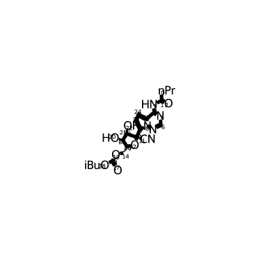 CCCC(=O)Nc1ncnn2c([C@]3(C#N)O[C@H](COC(=O)OCC(C)C)[C@@H](O)[C@H]3O)ccc12